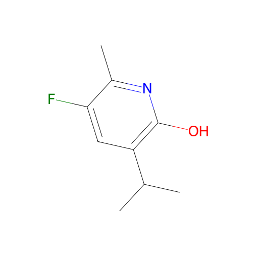 Cc1nc(O)c(C(C)C)cc1F